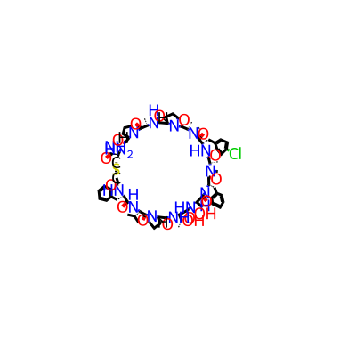 CC(C)[C@@H]1NC(=O)[C@H](Cc2ccccc2)NC(=O)CSC[C@@H](C(N)=O)NC(=O)[C@@H]2CCCN2C(=O)[C@H](C)NC(=O)[C@@H]2CCCN2C(=O)[C@H](C)N(C)C(=O)[C@H](Cc2ccc(Cl)cc2)NC(=O)[C@H](C)N(C)C(=O)[C@H](Cc2ccccc2)NC(=O)[C@H]([C@@H](C)O)NC(=O)[C@H]([C@@H](C)O)NC(=O)[C@@H]2CCCN2C1=O